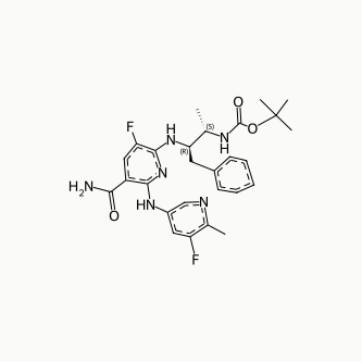 Cc1ncc(Nc2nc(N[C@H](Cc3ccccc3)[C@H](C)NC(=O)OC(C)(C)C)c(F)cc2C(N)=O)cc1F